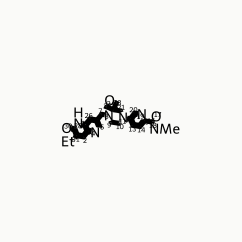 CCc1cc2ncc(CN3CCN(c4ccc(C(=O)NC)nc4)CC34COC4)cc2[nH]c1=O